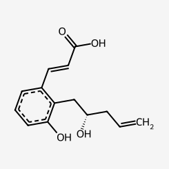 C=CC[C@H](O)Cc1c(O)cccc1C=CC(=O)O